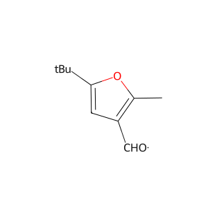 Cc1oc(C(C)(C)C)cc1[C]=O